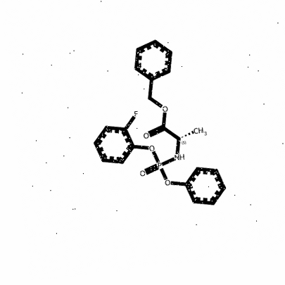 C[C@H](NP(=O)(Oc1ccccc1)Oc1ccccc1F)C(=O)OCc1ccccc1